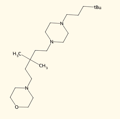 CC(C)(C)CCCN1CCN(CCC(C)(C)CCN2CCOCC2)CC1